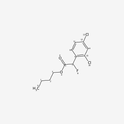 CCCCOC(=O)C(F)c1ccc(Cl)cc1Cl